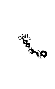 NC(=O)C1CC2(C1)CC(n1cc(-c3cnc4ccccc4n3)cn1)C2